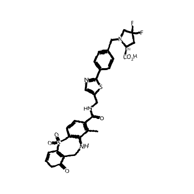 Cc1c(C(=O)NCc2cnc(-c3ccc(CN4CC(F)(F)C[C@H]4C(=O)O)cc3)s2)ccc2c1NCC1=C(C=CCC1=O)S2(=O)=O